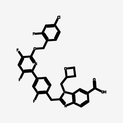 O=C(O)c1ccc2nc(Cc3ccc(-c4nc(OCc5ccc(Cl)cc5F)c(F)cc4F)cc3F)n(CC3CCO3)c2c1